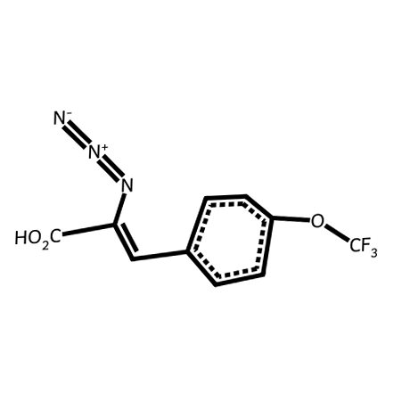 [N-]=[N+]=NC(=Cc1ccc(OC(F)(F)F)cc1)C(=O)O